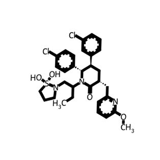 CCC(CN1CCCS1(O)O)N1C(=O)[C@@H](Cc2cccc(OC)n2)C[C@H](c2cccc(Cl)c2)[C@H]1c1ccc(Cl)cc1